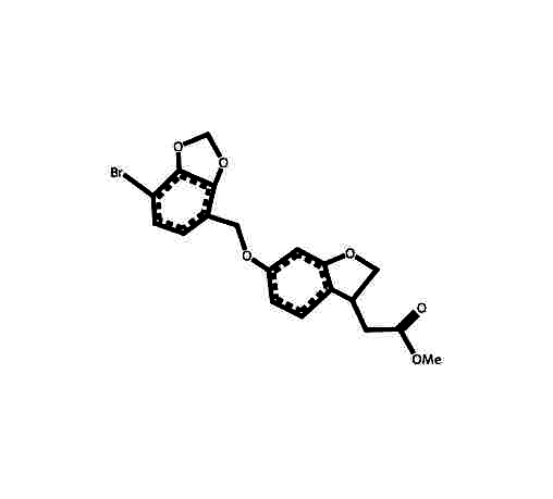 COC(=O)CC1COc2cc(OCc3ccc(Br)c4c3OCO4)ccc21